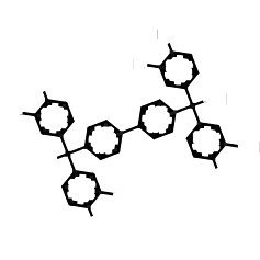 CC(c1ccc(-c2ccc(C(C)(c3ccc(S)c(S)c3)c3ccc(S)c(S)c3)cc2)cc1)(c1ccc(S)c(S)c1)c1ccc(S)c(S)c1